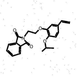 C=Cc1ccc(OC(C)C)c(OCCN2C(=O)c3ccccc3C2=O)c1